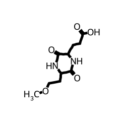 COCCC1NC(=O)C(CCC(=O)O)NC1=O